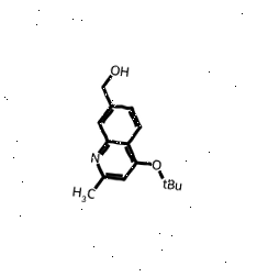 Cc1cc(OC(C)(C)C)c2ccc(CO)cc2n1